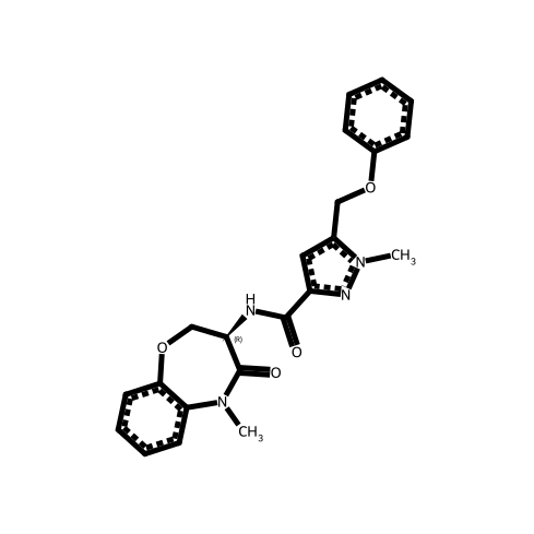 CN1C(=O)[C@H](NC(=O)c2cc(COc3ccccc3)n(C)n2)COc2ccccc21